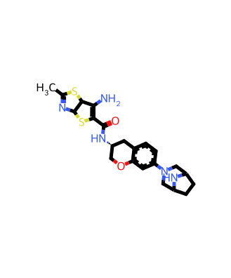 CC1=NC2SC(C(=O)N[C@H]3COc4cc(N5CC6CCC(C5)N6)ccc4C3)=C(N)C2S1